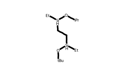 CC[SiH](CC[SiH](CC)OC(C)(C)C)OC(C)C